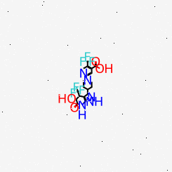 O=C(O)c1cc(N2CCC(c3n[nH]c4c3C(C(F)(F)F)C(O)C(=O)N4)CC2)ncc1C(F)(F)F